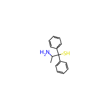 CC(N)C(S)(c1ccccc1)c1ccccc1